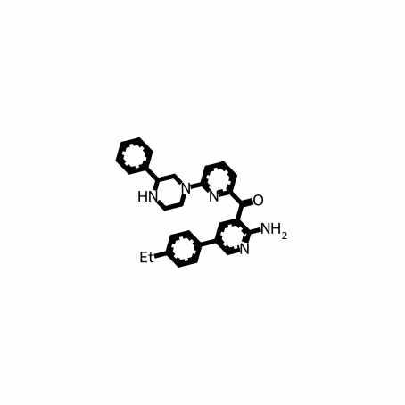 CCc1ccc(-c2cnc(N)c(C(=O)c3cccc(N4CCNC(c5ccccc5)C4)n3)c2)cc1